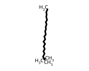 [CH2]CCCCCCCCCCCCCCCCCCCCC(C)(C)C